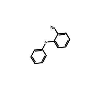 CCC(C)c1ccccc1[N]c1ccccc1